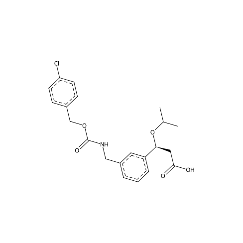 CC(C)O[C@@H](CC(=O)O)c1cccc(CNC(=O)OCc2ccc(Cl)cc2)c1